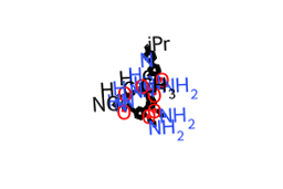 Cc1cc(-c2ccc(CC(C)C)cn2)ccc1C(=O)N[C@@H](CCN)C(=O)N(C)[C@@H]1C(=O)N[C@@H](C)C(=O)N[C@H](C(=O)NCC#N)Cc2ccc(OCCN)c(c2)-c2cc1ccc2OCCN